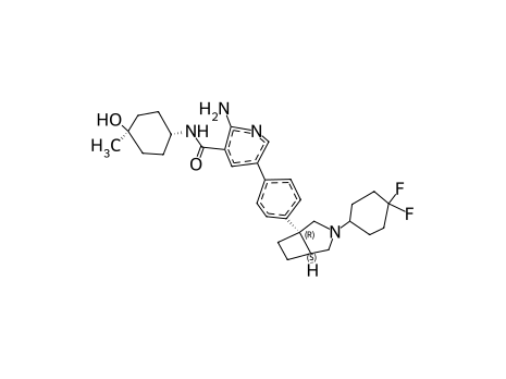 C[C@]1(O)CC[C@H](NC(=O)c2cc(-c3ccc([C@@]45CC[C@@H]4CN(C4CCC(F)(F)CC4)C5)cc3)cnc2N)CC1